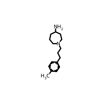 Cc1ccc(CCCN2CCCC(N)CC2)cc1